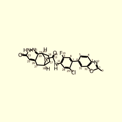 Cc1nc2ccc(-c3cc(F)c(NC(=O)N4[C@H]5CC[C@@H]4c4n[nH]c(=O)cc4C5)cc3Cl)cc2o1